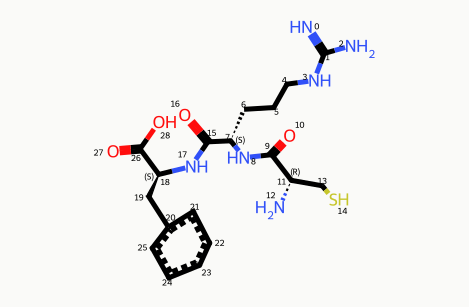 N=C(N)NCCC[C@H](NC(=O)[C@@H](N)CS)C(=O)N[C@@H](Cc1ccccc1)C(=O)O